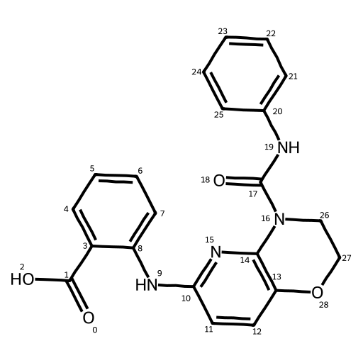 O=C(O)c1ccccc1Nc1ccc2c(n1)N(C(=O)Nc1ccccc1)CCO2